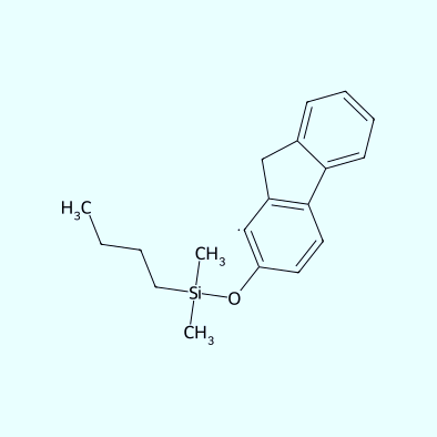 CCCC[Si](C)(C)Oc1[c]c2c(cc1)-c1ccccc1C2